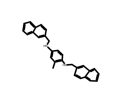 Cc1cc(NCc2ccc3ccccc3c2)ccc1NCc1ccc2ccccc2c1